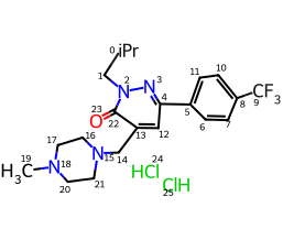 CC(C)Cn1nc(-c2ccc(C(F)(F)F)cc2)cc(CN2CCN(C)CC2)c1=O.Cl.Cl